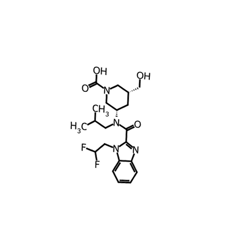 CC(C)CN(C(=O)c1nc2ccccc2n1CC(F)F)[C@H]1C[C@@H](CO)CN(C(=O)O)C1